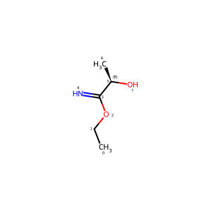 CCOC(=N)[C@@H](C)O